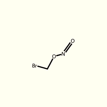 O=NOCBr